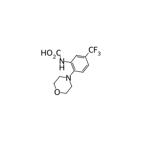 O=C(O)Nc1cc(C(F)(F)F)ccc1N1CCOCC1